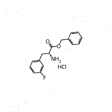 Cl.N[C@@H](Cc1cccc(F)c1)C(=O)OCc1ccccc1